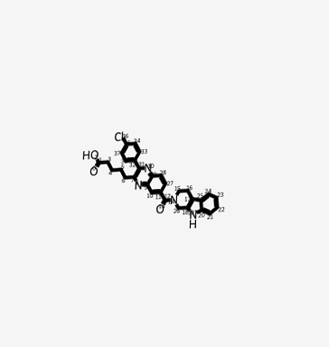 O=C(O)CCCCc1nc2cc(C(=O)N3CCc4c([nH]c5ccccc45)C3)ccc2nc1-c1ccc(Cl)cc1